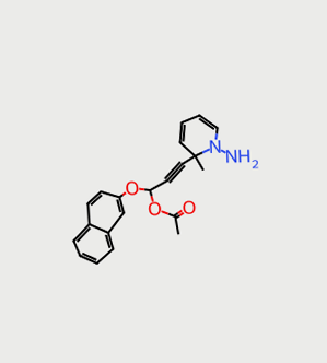 CC(=O)OC(C#CC1(C)C=CC=CN1N)Oc1ccc2ccccc2c1